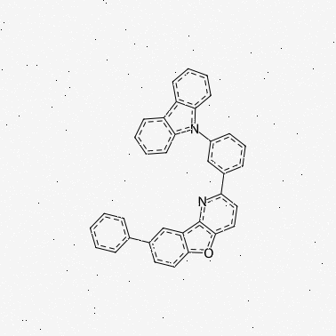 c1ccc(-c2ccc3oc4ccc(-c5cccc(-n6c7ccccc7c7ccccc76)c5)nc4c3c2)cc1